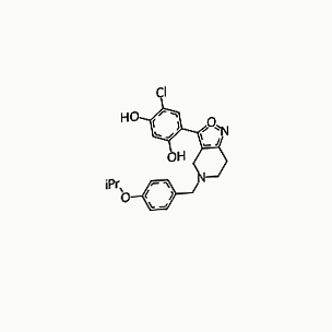 CC(C)Oc1ccc(CN2CCc3noc(-c4cc(Cl)c(O)cc4O)c3C2)cc1